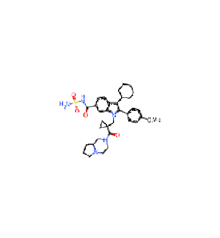 COc1ccc(-c2c(C3CCCCC3)c3ccc(C(=O)NS(N)(=O)=O)cc3n2CC2(C(=O)N3CCN4CCCC4C3)CC2)cc1